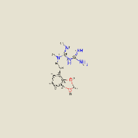 C/N=C(/NC(=N)N)N(C)CCc1cccc2c1OCO2